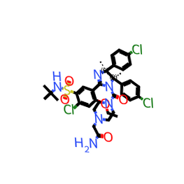 CCOc1cc(Cl)c(S(=O)(=O)NC(C)(C)C)cc1C1=N[C@@](C)(c2ccc(Cl)cc2)[C@@](C)(c2ccc(Cl)cc2)N1C(=O)N1CCN(CC(N)=O)CC1